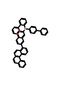 c1ccc(-c2ccc(N(c3ccc4ccc(-c5cccc6c5ccc5ccc7ccccc7c56)cc4c3)c3ccccc3-c3ccccc3)cc2)cc1